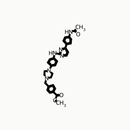 COC(=O)c1ccc(CN2CCN(c3ccc(Nc4nccc(-c5ccc(NC(C)=O)cc5)n4)cc3)CC2)cc1